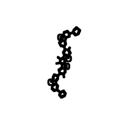 Cc1cc2oc3c4oc5cc(C)c(-c6ccc7oc8ccc(-c9ccccc9)cc8c7c6)cc5c4c(C)c(C)c3c2cc1-c1ccc2oc3ccc(-c4ccccc4)cc3c2c1